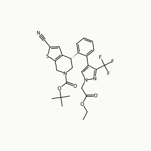 CCOC(=O)Cn1cc(-c2ccccc2[C@@H]2CN(C(=O)OC(C)(C)C)Cc3sc(C#N)cc32)c(C(F)(F)F)n1